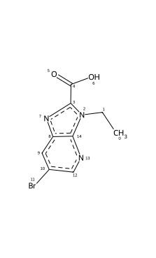 CCn1c(C(=O)O)nc2cc(Br)cnc21